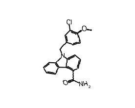 COc1ccc(Cn2c3ccc[c]c3c3c(C(N)=O)cccc32)cc1Cl